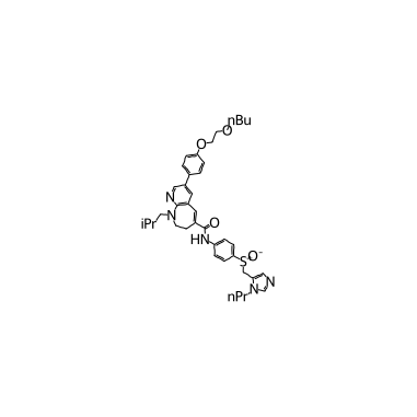 CCCCOCCOc1ccc(-c2cnc3c(c2)C=C(C(=O)Nc2ccc([S@@+]([O-])Cc4cncn4CCC)cc2)CCN3CC(C)C)cc1